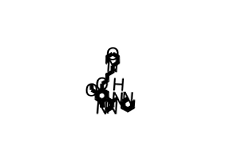 COc1cc2ncnc(Nc3ccccn3)c2cc1OCCCN1CCOCC1